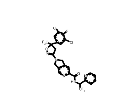 O=C(NC(c1ccccn1)C(F)(F)F)c1cc2c(cn1)CN(C1=NOC(c3cc(Cl)c(F)c(Cl)c3)(C(F)(F)F)C1)C2